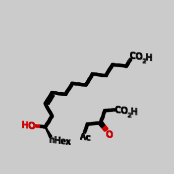 CC(=O)CC(=O)CC(=O)O.CCCCCC[C@@H](O)C/C=C\CCCCCCCC(=O)O